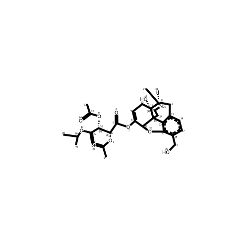 CC(=O)O[C@@H](C(=O)OC1=CC[C@@]2(O)[C@H]3Cc4ccc(CO)c5c4C2(CCN3C)C1O5)[C@@H](OC(C)=O)C(=O)OC(C)C